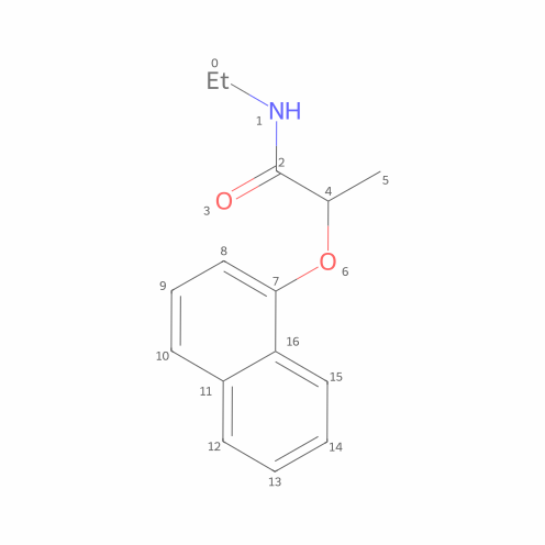 CCNC(=O)C(C)Oc1cccc2ccccc12